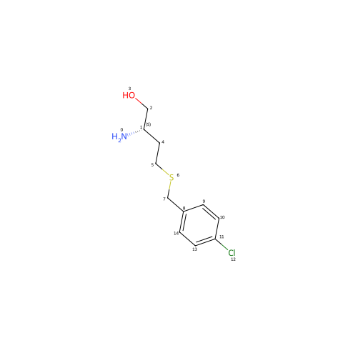 N[C@H](CO)CCSCc1ccc(Cl)cc1